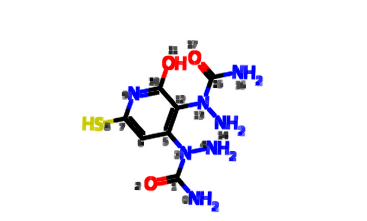 NC(=O)N(N)c1cc(S)nc(O)c1N(N)C(N)=O